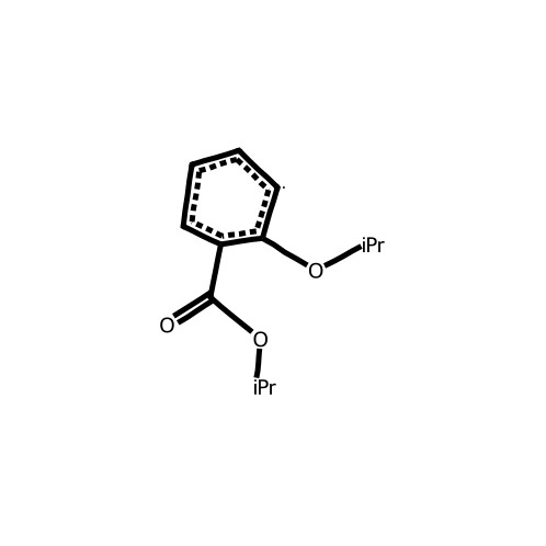 CC(C)OC(=O)c1ccc[c]c1OC(C)C